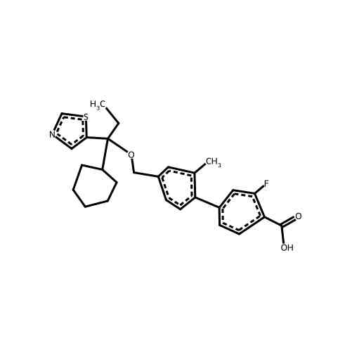 CCC(OCc1ccc(-c2ccc(C(=O)O)c(F)c2)c(C)c1)(c1cncs1)C1CCCCC1